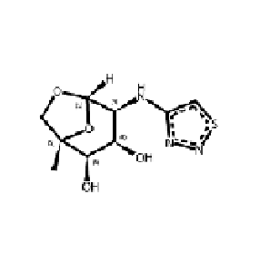 C[C@@]12CO[C@@H](O1)[C@@H](Nc1csnn1)[C@@H](O)[C@H]2O